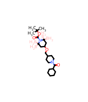 BC1(B)CC(OCC2CCN(C(=O)C3CCCCC3)CC2)CC(B)(B)N1C(=O)OC(C)(C)C